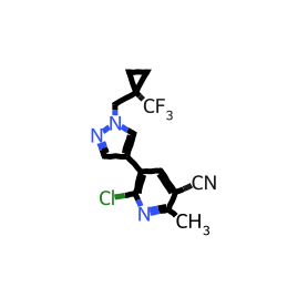 Cc1nc(Cl)c(-c2cnn(CC3(C(F)(F)F)CC3)c2)cc1C#N